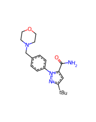 CC(C)(C)c1cc(C(N)=O)n(-c2ccc(CN3CCOCC3)cc2)n1